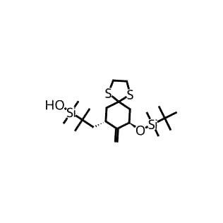 C=C1[C@H](CC(C)(C)[Si](C)(C)O)CC2(C[C@H]1O[Si](C)(C)C(C)(C)C)SCCS2